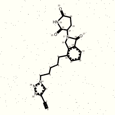 C#Cc1cn(CCCCCc2cccc3c2CN(C2CCC(=O)NC2=O)C3=O)nn1